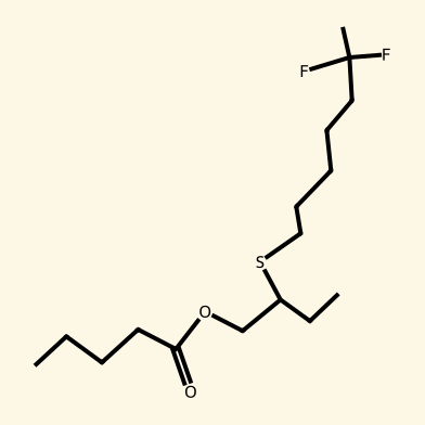 CCCCC(=O)OCC(CC)SCCCCCC(C)(F)F